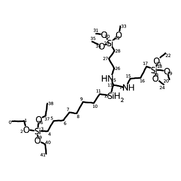 CCO[Si](CCCCCCCC[SiH2]C(NCCC[Si](OC)(OC)OC)NCCC[Si](OC)(OC)OC)(OCC)OCC